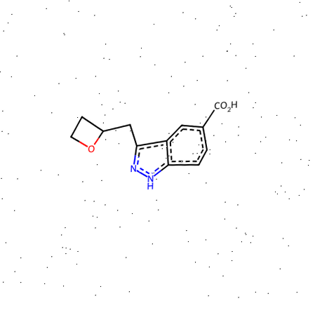 O=C(O)c1ccc2[nH]nc(CC3CCO3)c2c1